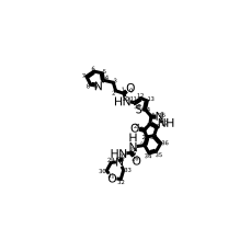 O=C(CCc1ccccn1)Nc1ccc(-c2n[nH]c3c2C(=O)c2c(NC(=O)NN4CCOCC4)cccc2-3)s1